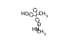 CCC(=C(c1ccc(O)cc1)c1ccc(OCCNC)cc1)c1ccccc1